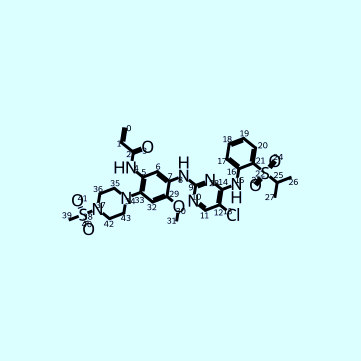 C=CC(=O)Nc1cc(Nc2ncc(Cl)c(Nc3ccccc3S(=O)(=O)C(C)C)n2)c(OC)cc1N1CCN(S(C)(=O)=O)CC1